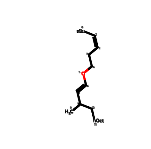 CCCC/C=C\CCOC=CC(C)CCCCCCCCC